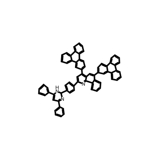 C1=C(c2ccccc2)NC(c2ccc(-c3cc(-c4ccc5c6ccccc6c6ccccc6c5c4)c4cc(-c5ccc6c7ccccc7c7ccccc7c6c5)c5ccccc5c4n3)cc2)N=C1c1ccccc1